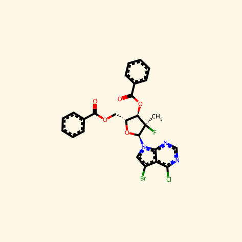 C[C@@]1(F)[C@H](OC(=O)c2ccccc2)[C@@H](COC(=O)c2ccccc2)O[C@@H]1n1cc(Br)c2c(Cl)ncnc21